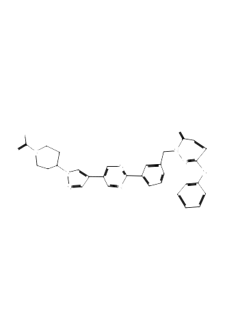 O=C(O)N1CCC(n2cc(-c3cnc(-c4cccc(Cn5nc(Nc6ccccc6)ccc5=O)c4)nc3)cn2)CC1